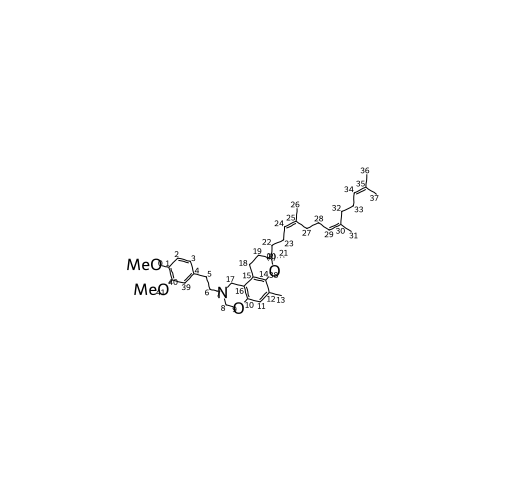 COc1ccc(CCN2COc3cc(C)c4c(c3C2)CC[C@@](C)(CCC=C(C)CCC=C(C)CCC=C(C)C)O4)cc1OC